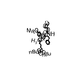 CCCCOP(=O)(CCC/C=C(/C)CN(CC(O)C(Cc1ccccc1)NC(=O)OC1COC2OCCC12)S(=O)(=O)c1ccc(OC)cc1)OCCCC